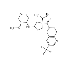 CO[C@H]1COCC[C@H]1N[C@H]1CC[C@](C(=O)N2CCc3ncc(C(F)(F)F)cc3C2)(C(C)C)C1